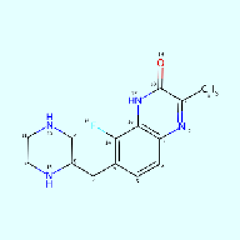 Cc1nc2ccc(CC3CNCCN3)c(F)c2[nH]c1=O